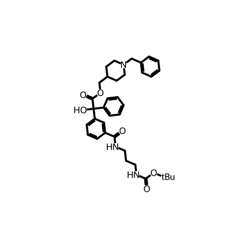 CC(C)(C)OC(=O)NCCCNC(=O)c1cccc(C(O)(C(=O)OCC2CCN(Cc3ccccc3)CC2)c2ccccc2)c1